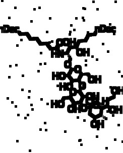 CCCCCCCCCCCCCCCCCC(=O)N[C@@H](CO[C@@H]1O[C@@H](CO)[C@@H](O[C@@H]2OC(CO)[C@H](O)[C@H](O[C@]3(C(=O)O)CC(O)[C@@H](C)[C@H]([C@H](O)CCO)O3)C2O)C(O)C1O)[C@H](O)[C@H](O)CCCCCCCCCCCCCC